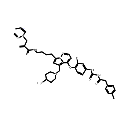 C=NN(/C=C\C)CC(=C)C(=O)NCCCCc1cc(CN2CCC(N)CC2)c2c(Oc3ccc(NC(=O)NC(=O)Cc4ccc(F)cc4)cc3F)ncnn12